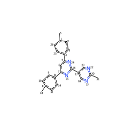 Cc1ccc(-c2cc(-c3ccc(C)cc3)nc(-c3cnc(C)nc3)n2)cc1